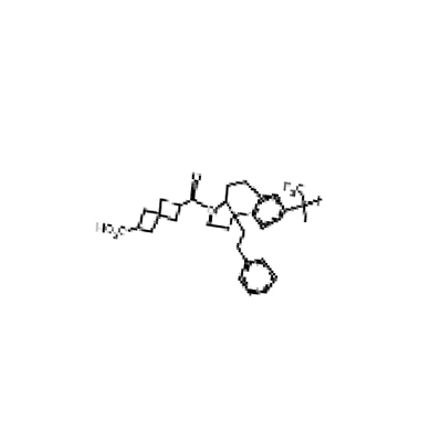 CC(F)(c1ccc2c(c1)CCC1N(C(=O)C3CC4(CC(C(=O)O)C4)C3)CCC21CCc1ccccc1)C(F)(F)F